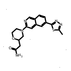 Cc1nnc(-c2ccc3cnc(N4CCOC(CC(N)=O)C4)cc3c2)s1